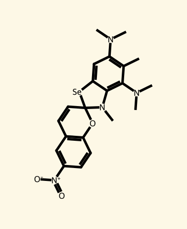 Cc1c(N(C)C)cc2c(c1N(C)C)N(C)C1(C=Cc3cc([N+](=O)[O-])ccc3O1)[Se]2